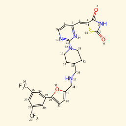 O=C1NC(=O)C(=Cc2ccnc(N3CCC(CNCc4ccc(-c5cc(C(F)(F)F)cc(C(F)(F)F)c5)o4)CC3)n2)S1